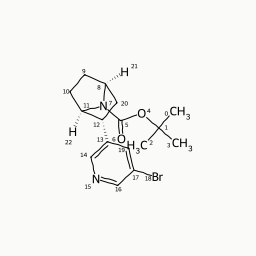 CC(C)(C)OC(=O)N1[C@H]2CC[C@@H]1[C@@H](c1cncc(Br)c1)C2